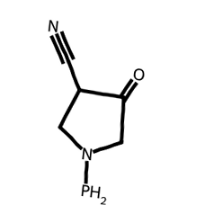 N#CC1CN(P)CC1=O